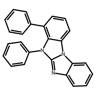 c1ccc(-c2cccc3c2n(-c2ccccc2)c2nc4ccccc4n32)cc1